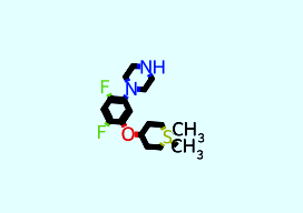 CS1(C)CCC(Oc2cc(N3CCNCC3)c(F)cc2F)CC1